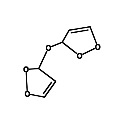 C1=CC(OC2C=COO2)OO1